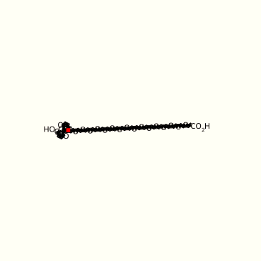 O=C(O)CCOCCOCCOCCOCCOCCOCCOCCOCCOCCOCCOCCOCCOCCOCCOCCOCCOCC(C(=O)O)(N1C(=O)CCC1=O)N1C(=O)CCC1=O